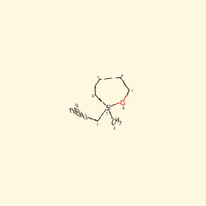 CCCCC[Si]1(C)CCCCO1